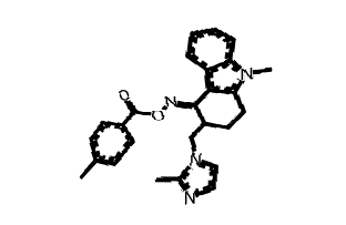 Cc1ccc(C(=O)O/N=C2/c3c(n(C)c4ccccc34)CCC2Cn2ccnc2C)cc1